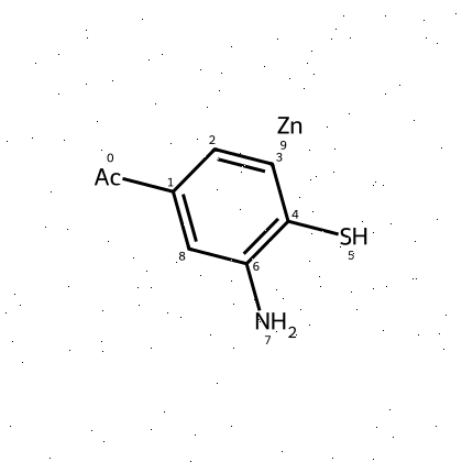 CC(=O)c1ccc(S)c(N)c1.[Zn]